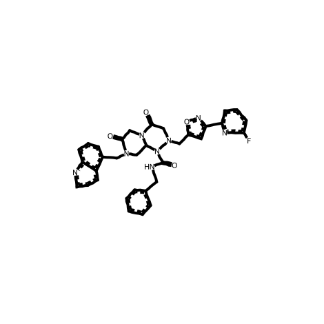 O=C1CN2C(=O)CN(Cc3cc(-c4cccc(F)n4)no3)N(C(=O)NCc3ccccc3)C2CN1Cc1cccc2ncccc12